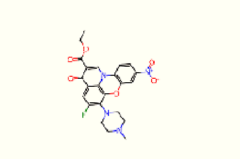 CCOC(=O)c1cn2c3c(c(N4CCN(C)CC4)c(F)cc3c1=O)Oc1cc([N+](=O)[O-])ccc1-2